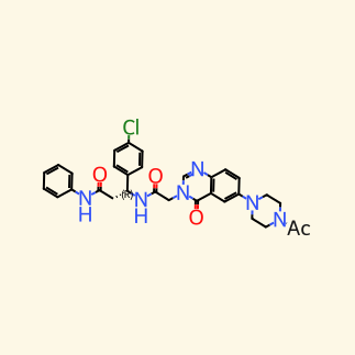 CC(=O)N1CCN(c2ccc3ncn(CC(=O)N[C@H](CC(=O)Nc4ccccc4)c4ccc(Cl)cc4)c(=O)c3c2)CC1